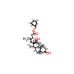 C[C@H](CCC(=O)OCc1ccccc1)[C@H]1CCC2C3CC[C@@H]4C[C@H](O)CC[C@]4(C)C3C[C@H](O)[C@@]21C